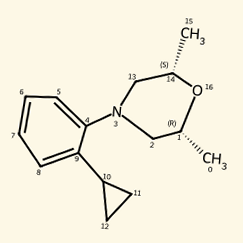 C[C@@H]1CN(c2ccccc2C2CC2)C[C@H](C)O1